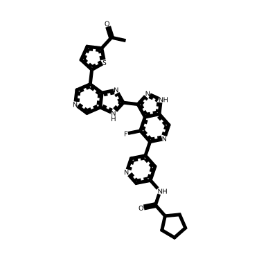 CC(=O)c1ccc(-c2cncc3[nH]c(-c4n[nH]c5cnc(-c6cncc(NC(=O)C7CCCC7)c6)c(F)c45)nc23)s1